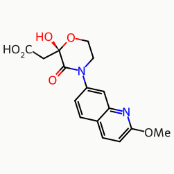 COc1ccc2ccc(N3CCO[C@@](O)(CC(=O)O)C3=O)cc2n1